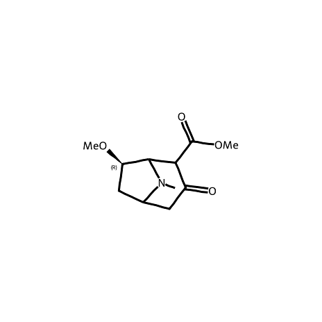 COC(=O)C1C(=O)CC2C[C@@H](OC)C1N2C